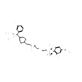 COc1cc(C)c(S(=O)(=O)N(C)CCOCC(=O)NCCC2CCC(C(c3cccc(F)c3)N(C)C)CC2)c(C)c1